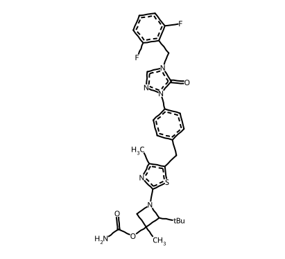 Cc1nc(N2CC(C)(OC(N)=O)C2C(C)(C)C)sc1Cc1ccc(-n2ncn(Cc3c(F)cccc3F)c2=O)cc1